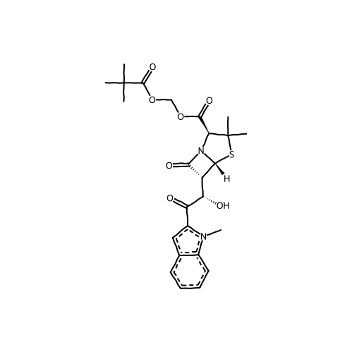 Cn1c(C(=O)[C@@H](O)[C@@H]2C(=O)N3[C@@H]2SC(C)(C)[C@@H]3C(=O)OCOC(=O)C(C)(C)C)cc2ccccc21